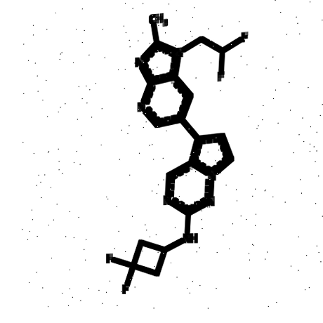 Cc1nc2ncc(-c3ccn4nc(NC5CC(F)(F)C5)ncc34)cc2n1CC(F)F